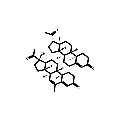 CC(=O)[C@@]1(O)CC[C@H]2[C@@H]3C=C(C)C4=CC(=O)CC[C@@H]4[C@H]3CC[C@@]21C.CC(=O)[C@H]1CC[C@H]2[C@@H]3CCC4=CC(=O)CC[C@]4(C)[C@H]3CC[C@]12C